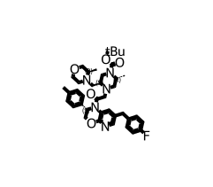 Cc1ccc([C@H]2COc3ncc(Cc4ccc(F)cc4)cc3N2C(=O)CN2C[C@@H](C)N(C(=O)OC(C)(C)C)C[C@@H]2CN2CCOC[C@H]2C)cc1